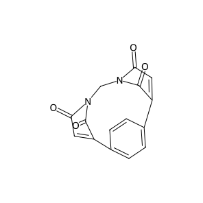 O=C1C=C2C(=O)N1CN1C(=O)C=C(C1=O)c1ccc2cc1